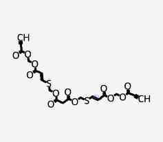 C#CC(=O)OCOC(=O)C=CSCOC(=O)CC(=O)OCS/C=C/C(=O)OCOC(=O)C#C